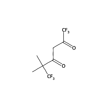 CC(C)(C(=O)CC(=O)C(F)(F)F)C(F)(F)F